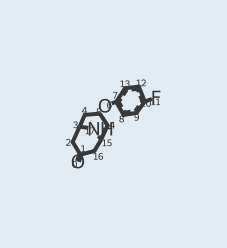 O=C1CC2CC(Oc3ccc(F)cc3)CC(C1)N2